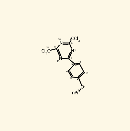 CCCOc1ccc(-c2nc(C(Cl)(Cl)Cl)nc(C(Cl)(Cl)Cl)n2)cc1